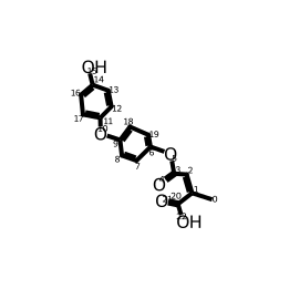 C/C(=C/C(=O)Oc1ccc(Oc2ccc(O)cc2)cc1)C(=O)O